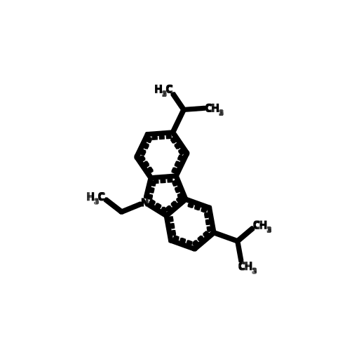 CCn1c2ccc(C(C)C)cc2c2cc(C(C)C)ccc21